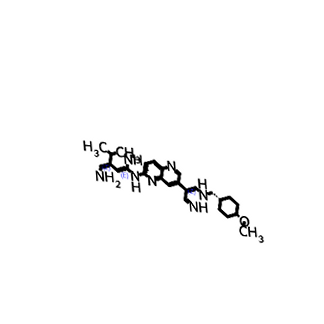 CO[C@H]1CC[C@H](CN/C=C(\C=N)c2cnc3ccc(N/C(N)=C/C(=C\N)C(C)C)nc3c2)CC1